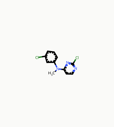 CN(c1cccc(Cl)c1)c1ccnc(Cl)n1